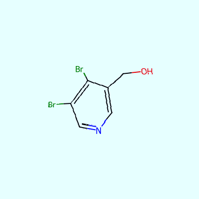 OCc1cncc(Br)c1Br